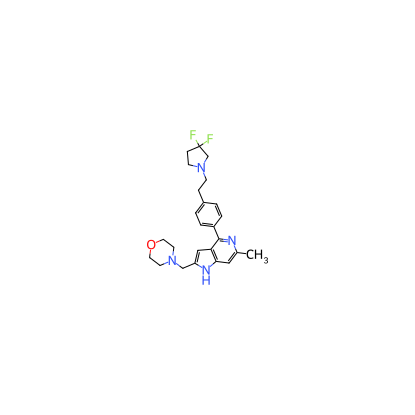 Cc1cc2[nH]c(CN3CCOCC3)cc2c(-c2ccc(CCN3CCC(F)(F)C3)cc2)n1